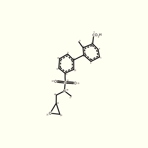 Cc1c(C(=O)O)cccc1-c1cccc(S(=O)(=O)N(C)CC2CO2)c1